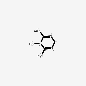 CNC1=NCN=C(N)N1C